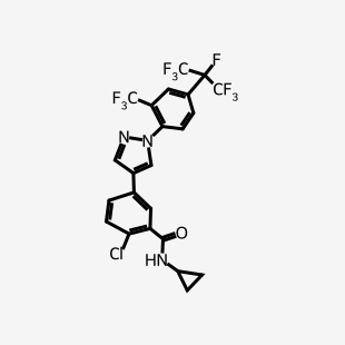 O=C(NC1CC1)c1cc(-c2cnn(-c3ccc(C(F)(C(F)(F)F)C(F)(F)F)cc3C(F)(F)F)c2)ccc1Cl